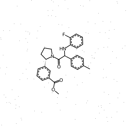 COC(=O)c1cccc([C@@H]2CCCN2C(=O)C(Nc2ccccc2F)c2ccc(C)cc2)c1